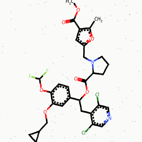 COC(=O)c1cc(CN2CCCC2C(=O)OC(Cc2c(Cl)cncc2Cl)c2ccc(OC(F)F)c(OCC3CC3)c2)oc1C